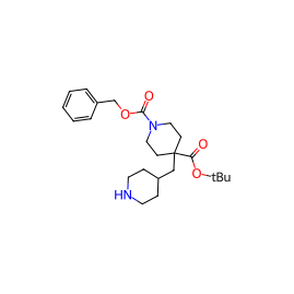 CC(C)(C)OC(=O)C1(CC2CCNCC2)CCN(C(=O)OCc2ccccc2)CC1